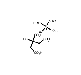 CCCCCCCC[PH](CCCCCCCC)(CCCCCCCC)C(C)=O.O=C(O)CC(O)(CC(=O)O)C(=O)O